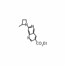 CCOC(=O)c1cnc2cc(N3CCC3C)ncc2c1